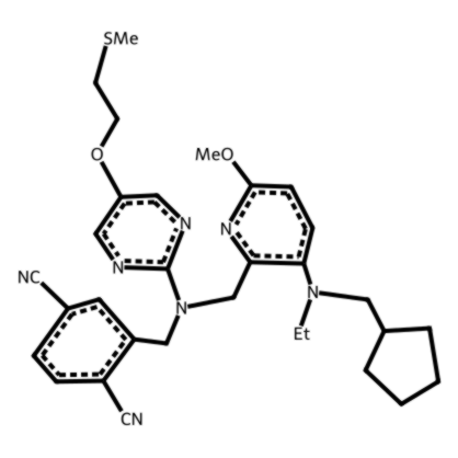 CCN(CC1CCCC1)c1ccc(OC)nc1CN(Cc1cc(C#N)ccc1C#N)c1ncc(OCCSC)cn1